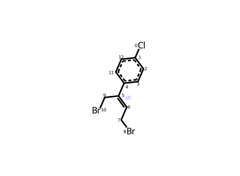 Clc1ccc(/C(=C/CBr)CBr)cc1